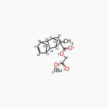 CC(C)(C)OC(=O)COC(=O)C1(C)CC2CC1C1C3C=CC(C3)C21